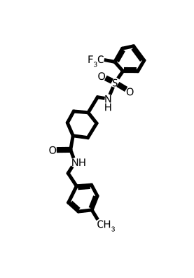 Cc1ccc(CNC(=O)C2CCC(CNS(=O)(=O)c3ccccc3C(F)(F)F)CC2)cc1